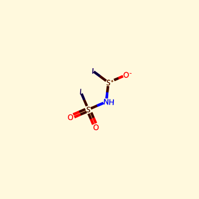 O=S(=O)(I)N[S+]([O-])I